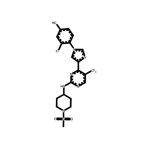 CS(=O)(=O)N1CCC(Nc2ncc(C(F)(F)F)c(-c3cn(-c4ccc(C#N)cc4Cl)cn3)n2)CC1